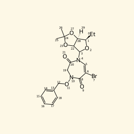 CC[C@H]1OC(N2C=C(Br)C(=O)N(OCc3ccccc3)CC2=O)C2OC(C)(C)O[C@H]21